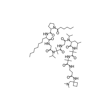 CCCCCCCCC(NC(=O)C1CCCN1C(=O)CCCCC)C(=O)NCC(=O)N(C(C)C)C(C)(C)C(=O)NCC(=O)N(C(C)C)C(CC(C)C)C(=O)NC(C)(C)C(=O)NC(C)(C)C(=O)NCCC(=O)NC1(CN(C)C)CCC1